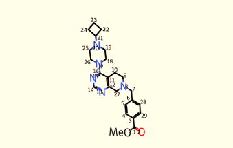 COC(=O)c1ccc(CN2CCc3c(ncnc3N3CCN(C4CCC4)CC3)C2)cc1